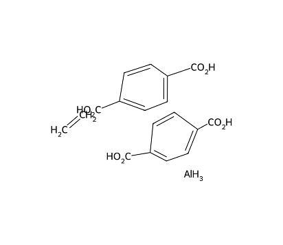 C=C.O=C(O)c1ccc(C(=O)O)cc1.O=C(O)c1ccc(C(=O)O)cc1.[AlH3]